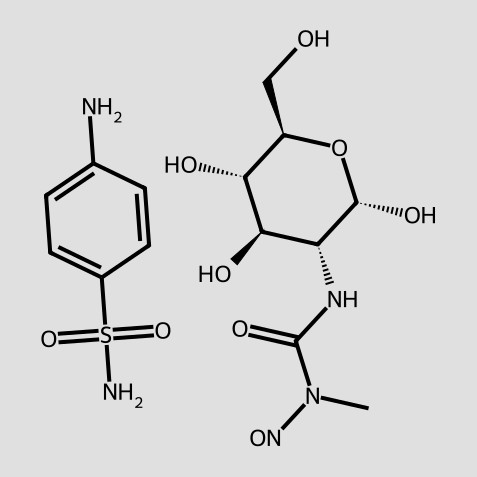 CN(N=O)C(=O)N[C@@H]1[C@@H](O)[C@H](O)[C@@H](CO)O[C@@H]1O.Nc1ccc(S(N)(=O)=O)cc1